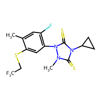 Cc1cc(F)c(-n2c(=S)n(C3CC3)c(=S)n2C)cc1SCC(F)(F)F